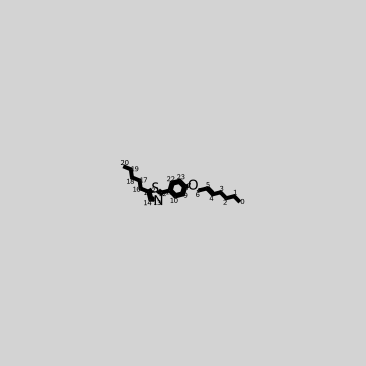 CCCCC=CCOc1ccc(-c2ncc(CCCCC)s2)cc1